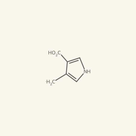 [CH2]c1c[nH]cc1C(=O)O